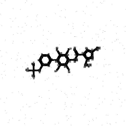 [2H]C([2H])([2H])Oc1cccc(-c2c(F)c(F)c(NC(=O)c3nc(O)sc3C(=O)O)c(F)c2F)c1